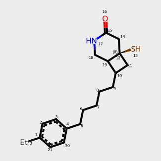 CCc1ccc(CCCCCC2C[C@@]3(S)CC(=O)NCC23)cc1